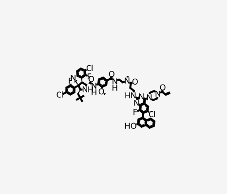 C=CC(=O)N1CCN(c2nc(NCCC(=O)N(C)CCNC(=O)c3ccc(NC(=O)[C@@H]4N[C@@H](CC(C)(C)C)[C@](C#N)(c5ccc(Cl)cc5F)[C@H]4c4cccc(Cl)c4F)c(OC)c3)nc3c(F)c(-c4cc(O)cc5ccccc45)c(Cl)cc23)CC1